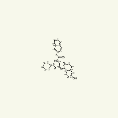 O=C(Cc1ccc2ccccc2c1)Nc1nc2c(nc1CCC1CCCCC1)-c1ccc(O)cc1CC2